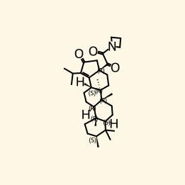 CC(C)C1=C2[C@H]3CC[C@@H]4[C@@]5(C)CC[C@H](C)C(C)(C)[C@@H]5CC[C@@]4(C)[C@]3(C)CC[C@@]2(C(=O)C(=O)N2CCC2)CC1=O